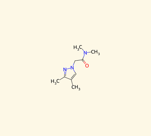 Cc1cn(CC(=O)N(C)C)nc1C